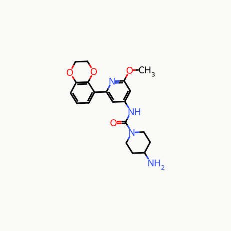 COc1cc(NC(=O)N2CCC(N)CC2)cc(-c2cccc3c2OCCO3)n1